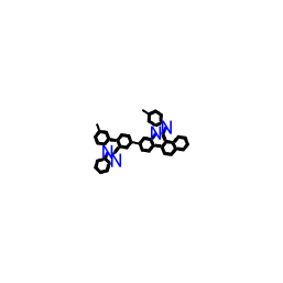 Cc1ccc2c(c1)c1ccc(-c3ccc4c5ccc6ccccc6c5c5nc6ccc(C)cc6n5c4c3)cc1c1nc3ccccc3n21